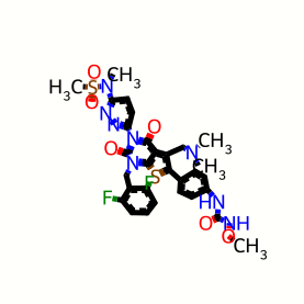 CONC(=O)Nc1ccc(-c2sc3c(c2CN(C)C)c(=O)n(-c2ccc(N(C)S(C)(=O)=O)nn2)c(=O)n3Cc2c(F)cccc2F)cc1